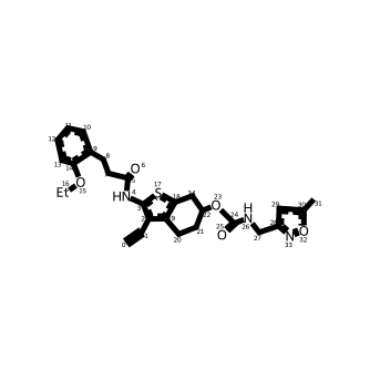 C#Cc1c(NC(=O)CCc2ccccc2OCC)sc2c1CCC(OC(=O)NCc1cc(C)on1)C2